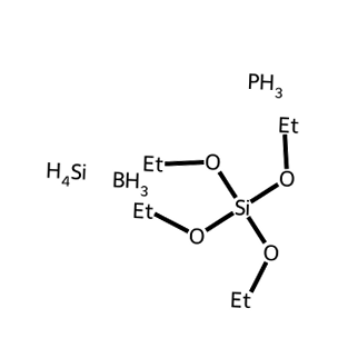 B.CCO[Si](OCC)(OCC)OCC.P.[SiH4]